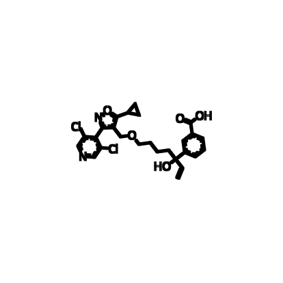 C=CC(O)(CCCCOCc1c(-c2c(Cl)cncc2Cl)noc1C1CC1)c1cccc(C(=O)O)c1